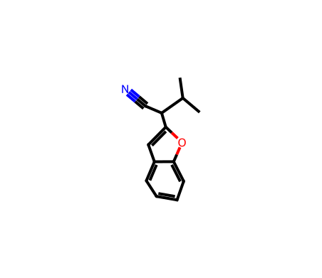 CC(C)C(C#N)c1cc2ccccc2o1